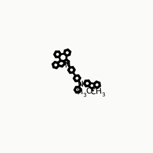 CC1(C)c2ccccc2-c2ccc(N(c3ccccc3)c3ccc(-c4ccc(-n5cc6c7c(c8ccccc8cc75)-c5ccccc5-c5ccccc5-6)cc4)cc3)cc21